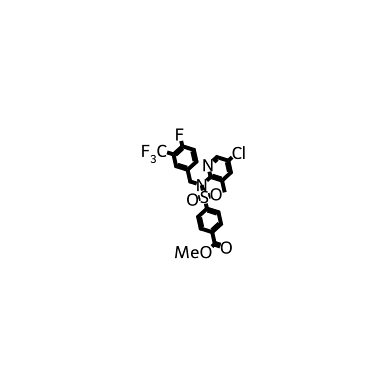 COC(=O)c1ccc(S(=O)(=O)N(Cc2ccc(F)c(C(F)(F)F)c2)c2ncc(Cl)cc2C)cc1